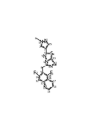 Cn1cc(-c2nn3c(Cc4c(F)cc5ncccc5c4F)nnc3s2)cn1